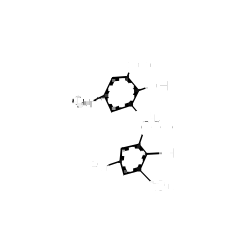 CC(C)(C)c1cc(C(=O)[O-])c(O)c(C(C)(C)C)c1.CC(C)(C)c1cc(C(=O)[O-])c(O)c(C(C)(C)C)c1.[Cu+2]